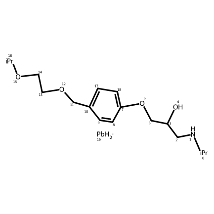 CC(C)NCC(O)COc1ccc(COCCOC(C)C)cc1.[PbH2]